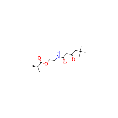 C=C(C)C(=O)OCCNC(=O)CC(=O)CC(C)(C)C